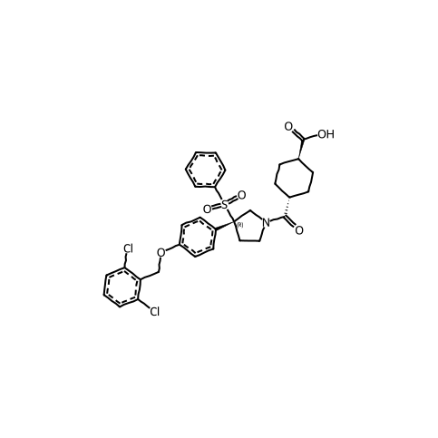 O=C(O)[C@H]1CC[C@H](C(=O)N2CC[C@](c3ccc(OCc4c(Cl)cccc4Cl)cc3)(S(=O)(=O)c3ccccc3)C2)CC1